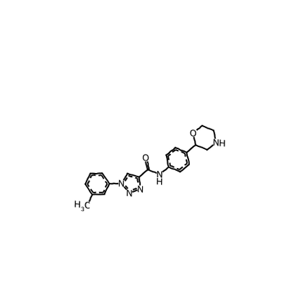 Cc1cccc(-n2cc(C(=O)Nc3ccc(C4CNCCO4)cc3)nn2)c1